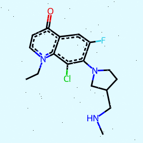 CCn1ccc(=O)c2cc(F)c(N3CCC(CNC)C3)c(Cl)c21